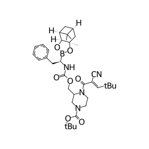 CC(C)(C)/C=C(\C#N)C(=O)N1CCN(C(=O)OC(C)(C)C)CC1COC(=O)N[C@@H](Cc1ccccc1)B1O[C@H]2[C@H]3C[C@@H](C[C@@]2(C)O1)C3(C)C